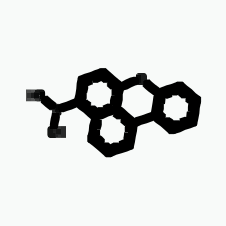 OB(O)c1ccc2c3c(cccc13)-c1ccccc1O2